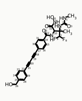 CNC(=O)NC(C)(C(F)F)C(NC(=O)c1ccc(C#CC#Cc2ccc(CO)cc2)cc1)C(=O)NO